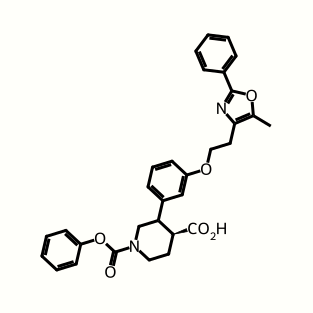 Cc1oc(-c2ccccc2)nc1CCOc1cccc(C2CN(C(=O)Oc3ccccc3)CC[C@@H]2C(=O)O)c1